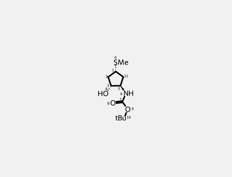 CS[C@H]1C[C@@H](O)[C@H](NC(=O)OC(C)(C)C)C1